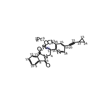 CC(C)O/N=C(/CN1C(=O)c2ccccc2C1=O)c1ncc(C#CC2CC2)cc1Cl